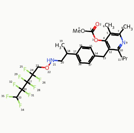 COC(=O)Oc1c(C)c(C)nc(C(C)C)c1Cc1ccc(C(C)CNOCC(F)(F)C(F)(F)C(F)(F)C(F)F)cc1